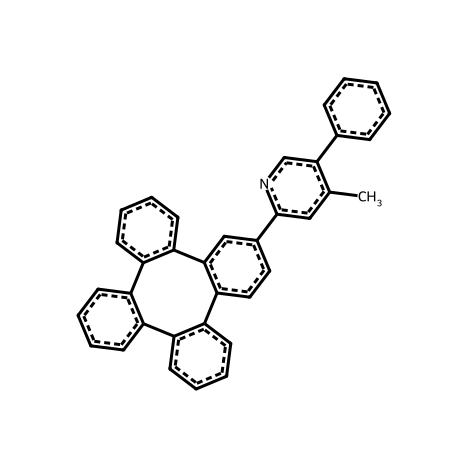 Cc1cc(-c2ccc3c(c2)-c2ccccc2-c2ccccc2-c2ccccc2-3)ncc1-c1ccccc1